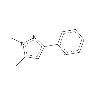 Cc1cc(-c2[c]cccc2)nn1C